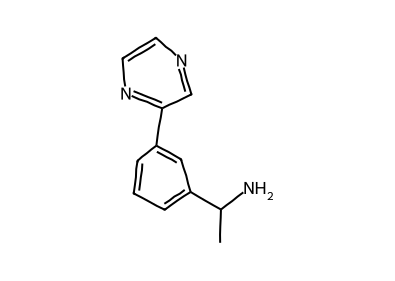 CC(N)c1cccc(-c2cnccn2)c1